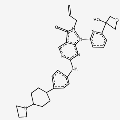 C=CCn1c(=O)c2cnc(Nc3ccc(C4CCC(N5CCC5)CC4)cc3)nc2n1-c1cccc(C2(O)COC2)n1